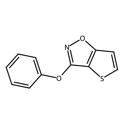 c1ccc(Oc2noc3ccsc23)cc1